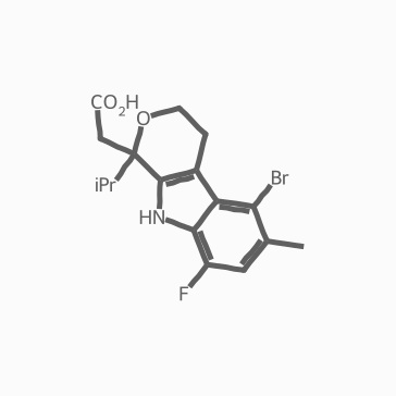 Cc1cc(F)c2[nH]c3c(c2c1Br)CCOC3(CC(=O)O)C(C)C